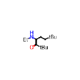 CCNC(CCC(C)(C)C)C(=O)C(C)(C)C